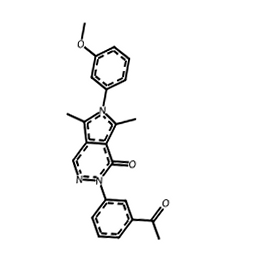 COc1cccc(-n2c(C)c3cnn(-c4cccc(C(C)=O)c4)c(=O)c3c2C)c1